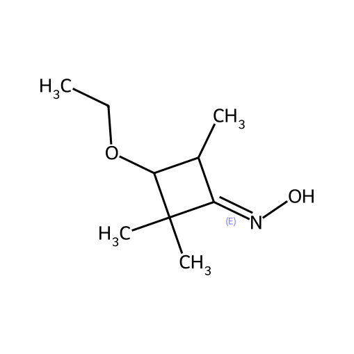 CCOC1C(C)/C(=N\O)C1(C)C